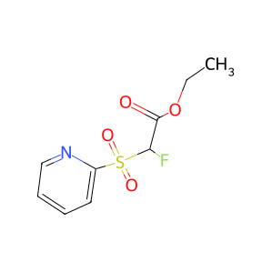 CCOC(=O)C(F)S(=O)(=O)c1ccccn1